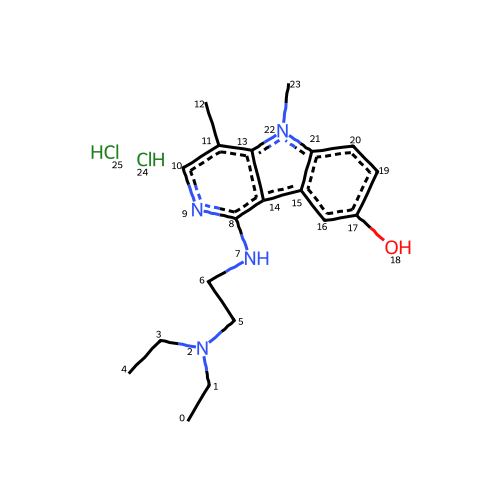 CCN(CC)CCNc1ncc(C)c2c1c1cc(O)ccc1n2C.Cl.Cl